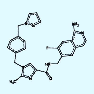 Cc1nc(C(=O)NCc2cc3ccnc(N)c3cc2F)cn1Cc1ccc(Cn2cccn2)cc1